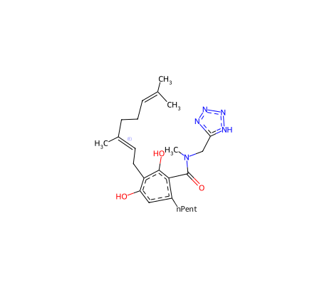 CCCCCc1cc(O)c(C/C=C(\C)CCC=C(C)C)c(O)c1C(=O)N(C)Cc1nnn[nH]1